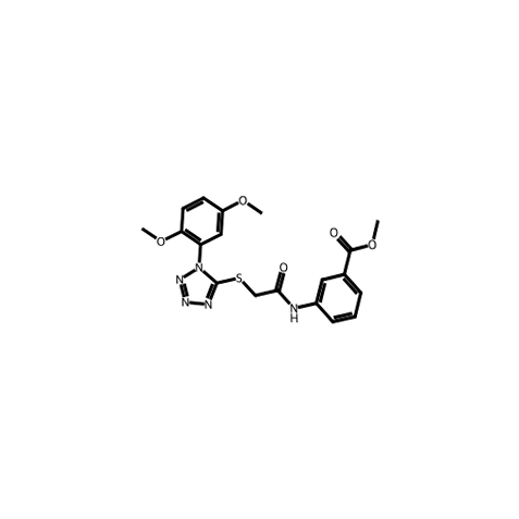 COC(=O)c1cccc(NC(=O)CSc2nnnn2-c2cc(OC)ccc2OC)c1